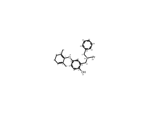 CC1=C[CH]CC(C)=C1Oc1ccc(O)c(CN(Cc2ccccc2)C(C)C)c1